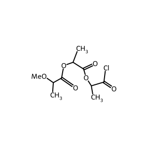 COC(C)C(=O)OC(C)C(=O)OC(C)C(=O)Cl